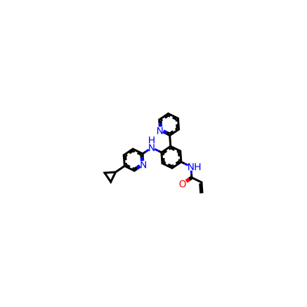 C=CC(=O)Nc1ccc(Nc2ccc(C3CC3)cn2)c(-c2ccccn2)c1